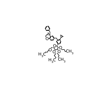 CCCCOC[C@H]1O[C@@H](c2ccc(C3CC3)c(Cc3ccc4c(c3)N(Cc3ccccc3)CCO4)c2)[C@H](OCCCC)[C@@H](OCCCC)[C@@H]1OCCCC